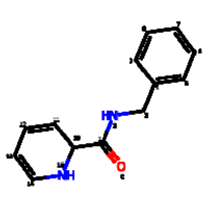 O=C(NCc1ccccc1)C1C=CC=CN1